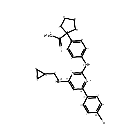 COC(=O)C1(c2ccc(Nc3nc(NCC4CC4)cc(-c4ccc(I)cc4)n3)cc2)CCCC1